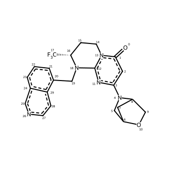 O=c1cc(N2CC3CC2CO3)nc2n1CC[C@@H](C(F)(F)F)N2Cc1cccc2cnccc12